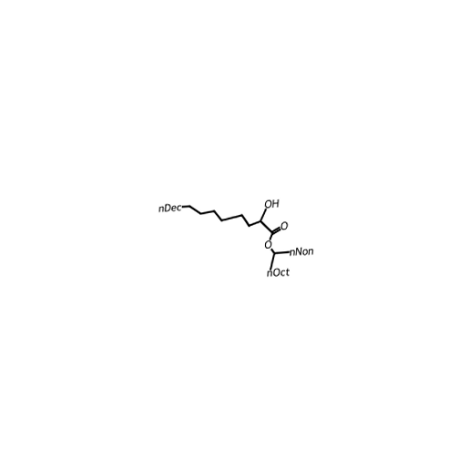 CCCCCCCCCCCCCCCCC(O)C(=O)OC(CCCCCCCC)CCCCCCCCC